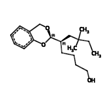 CCC(C)(C)C[C@@H](CCCCO)[C@@H]1OCc2ccccc2O1